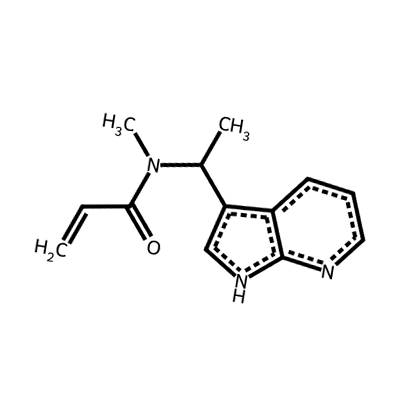 C=CC(=O)N(C)C(C)c1c[nH]c2ncccc12